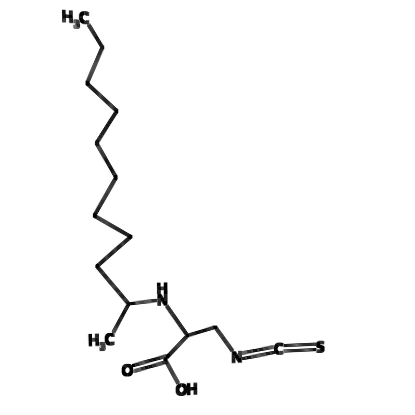 CCCCCCCCCC(C)NC(CN=C=S)C(=O)O